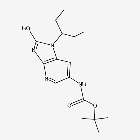 CCC(CC)n1c(O)nc2ncc(NC(=O)OC(C)(C)C)cc21